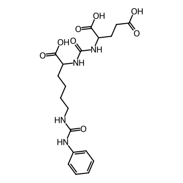 O=C(O)CCC(NC(=O)NC(CCCCNC(=O)Nc1ccccc1)C(=O)O)C(=O)O